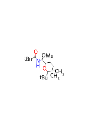 CO[C@H](NC(=O)C(C)(C)C)[C@H]1CCC(C)(C)[C@@H](C(C)(C)C)O1